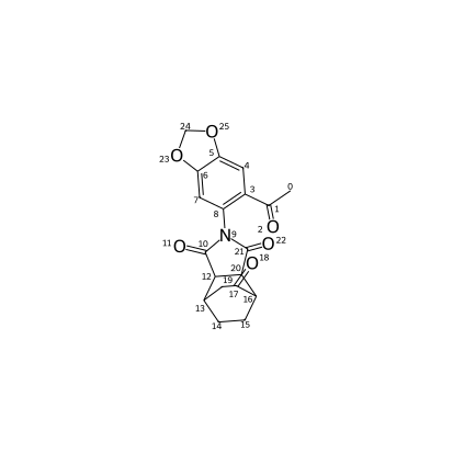 CC(=O)c1cc2c(cc1N1C(=O)C3C4CCC(C(=O)C4)C3C1=O)OCO2